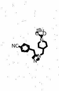 CC(C)(C)OC(=O)N1CCC(Cn2cncc2Cc2ccc(C#N)cc2)CC1